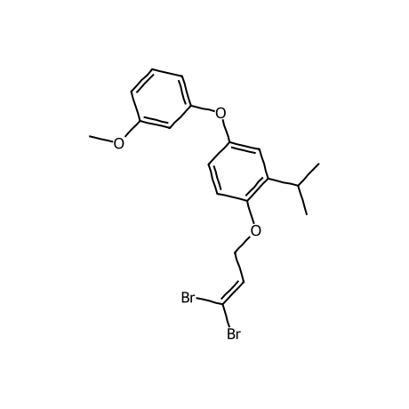 COc1cccc(Oc2ccc(OCC=C(Br)Br)c(C(C)C)c2)c1